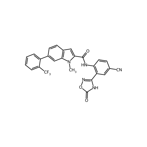 Cn1c(C(=O)Nc2ccc(C#N)cc2-c2noc(=O)[nH]2)cc2ccc(-c3ccccc3C(F)(F)F)cc21